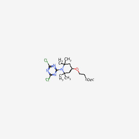 CCCCCCCCCCCCOC1CC(C)(C)N(c2nc(Cl)nc(Cl)n2)C(C)(C)C1